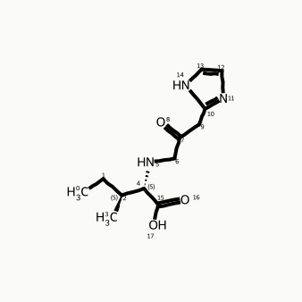 CC[C@H](C)[C@H](NCC(=O)Cc1ncc[nH]1)C(=O)O